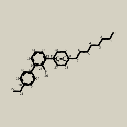 CCCCCCCCC12CCC(c3cccc(-c4ccc(CC)cc4)c3F)(CC1)CC2